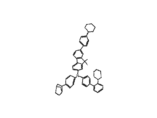 CC1(C)c2cc(-c3ccc(C4CCCCC4)cc3)ccc2-c2ccc(N(c3ccc(-c4ccccc4C4CCCCC4)cc3)c3ccc(C4CC5CCC4C5)cc3)cc21